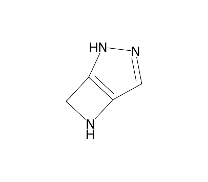 c1n[nH]c2c1NC2